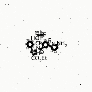 CCOC(=O)c1cc(NC(=O)c2cc(-c3cccc(N)n3)c(F)cc2Cl)n(-c2ccccc2)n1.O=C(O)C(F)(F)F